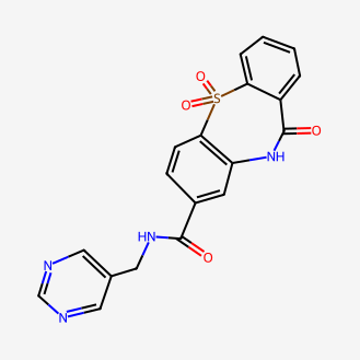 O=C(NCc1cncnc1)c1ccc2c(c1)NC(=O)c1ccccc1S2(=O)=O